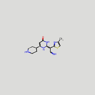 N=C/C(=C1/NC(=O)C=C(C2CCNCC2)N1)c1nc(C(F)(F)F)cs1